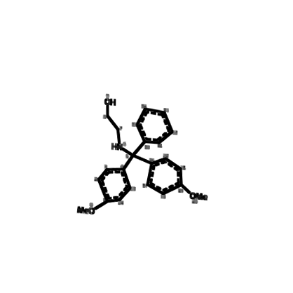 COc1ccc(C(NCCO)(c2ccccc2)c2ccc(OC)cc2)cc1